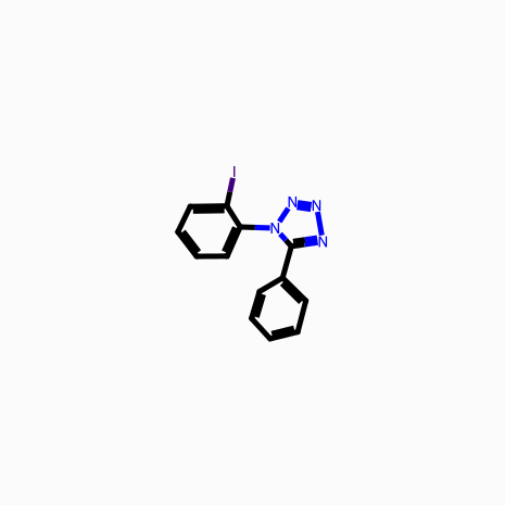 Ic1ccccc1-n1nnnc1-c1ccccc1